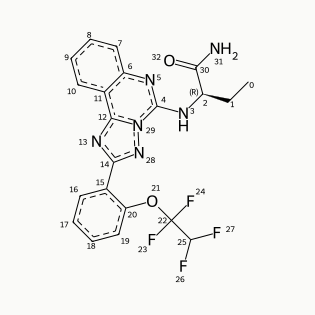 CC[C@@H](Nc1nc2ccccc2c2nc(-c3ccccc3OC(F)(F)C(F)F)nn12)C(N)=O